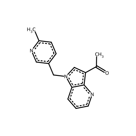 CC(=O)c1cn(Cc2ccc(C)nc2)c2cccnc12